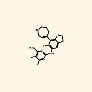 CNc1nc(Nc2cc3c(c(C4=CCNCCC4)c2F)OCC3)nc(C)c1C